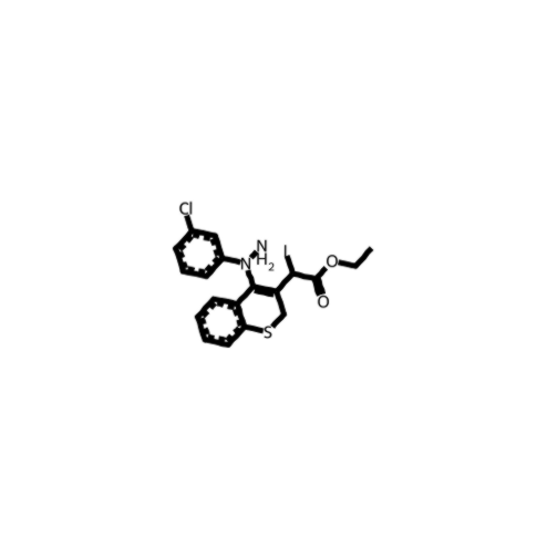 CCOC(=O)C(I)C1=C(N(N)c2cccc(Cl)c2)c2ccccc2SC1